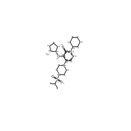 CC(C)S(=O)(=O)N1CCN(c2cnn(C3CCCCC3)c(=O)c2O[C@@H]2CCC[C@H]2C)CC1